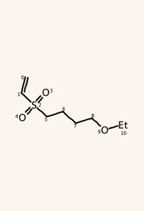 C=CS(=O)(=O)CCCCOCC